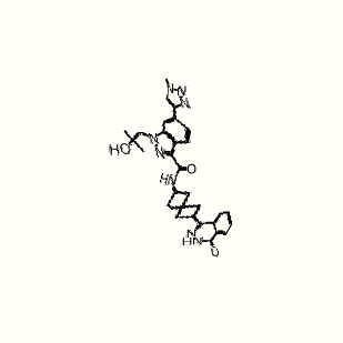 Cn1cc(-c2ccc3c(C(=O)NC4CC5(C4)CC(c4n[nH]c(=O)c6ccccc46)C5)nn(CC(C)(C)O)c3c2)nn1